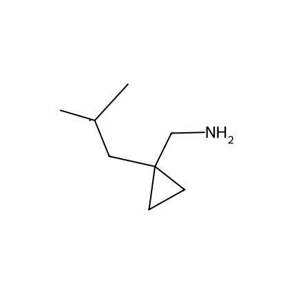 C[C](C)CC1(CN)CC1